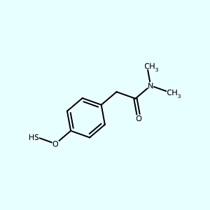 CN(C)C(=O)Cc1ccc(OS)cc1